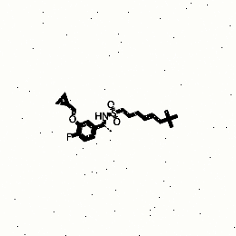 C[C@@H](NS(=O)(=O)CCC/C=C/CC(C)(C)C)c1ccc(F)c(OCC2CC2)c1